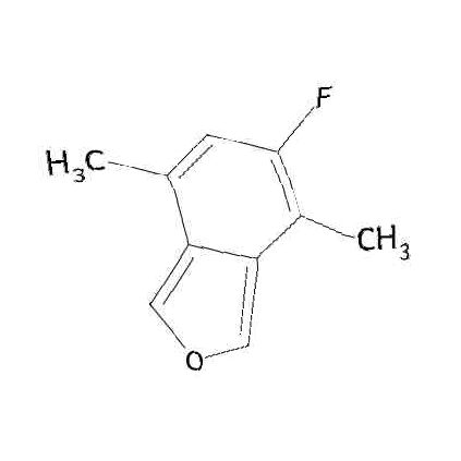 Cc1cc(F)c(C)c2cocc12